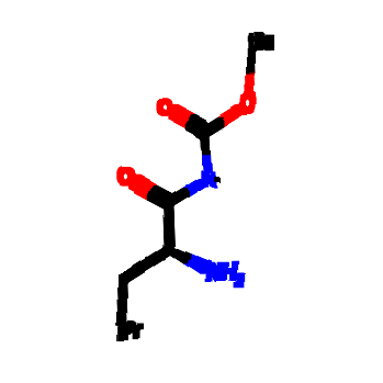 CC(C)C[C@H](N)C(=O)[N]C(=O)OC(C)(C)C